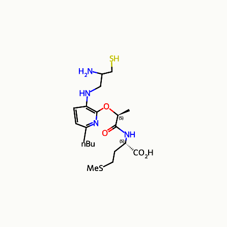 CCCCc1ccc(NCC(N)CS)c(O[C@@H](C)C(=O)N[C@@H](CCSC)C(=O)O)n1